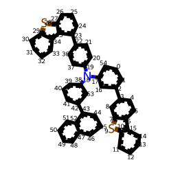 c1cc(-c2ccc3c(c2)sc2ccccc23)cc(N(c2ccc(-c3cccc4sc5ccccc5c34)cc2)c2cccc(-c3cccc4ccccc34)c2)c1